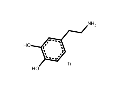 NCCc1ccc(O)c(O)c1.[Ti]